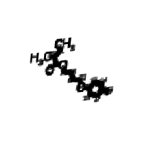 CCC(C)C(=O)OCCCCOc1ccc(F)cc1